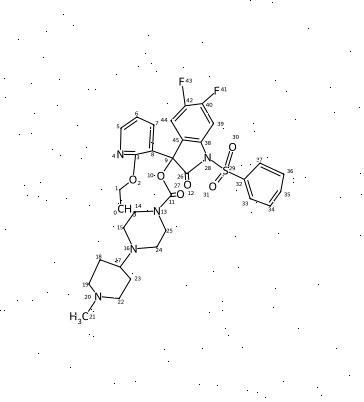 CCOc1ncccc1C1(OC(=O)N2CCN(C3CCN(C)CC3)CC2)C(=O)N(S(=O)(=O)c2ccccc2)c2cc(F)c(F)cc21